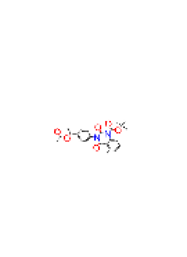 CC(=O)OC(C)c1ccc(-n2c(=O)c3c(C)cccc3n(C(=O)OC(C)(C)C)c2=O)cc1